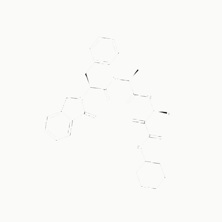 CC(C)[C@H](NC(=O)[C@H](C)NC(=O)[C@H](Cc1ccccc1)N1Cc2ccccc2C1=O)C(=O)C(=O)NC1CCCCC1